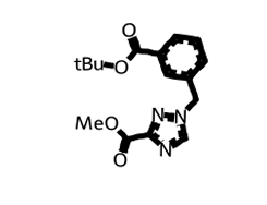 COC(=O)c1ncn(Cc2cccc(C(=O)OC(C)(C)C)c2)n1